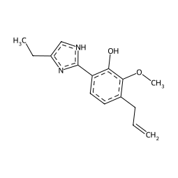 C=CCc1ccc(-c2nc(CC)c[nH]2)c(O)c1OC